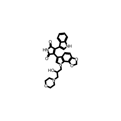 O=C1NC(=O)C(c2cn(CC(O)CN3CCOCC3)c3c4c(ccc23)OCO4)=C1c1c[nH]c2ccccc12